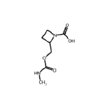 CNC(=O)OCC1CCN1C(=O)O